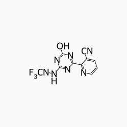 N#Cc1cccnc1-c1nc(O)nc(NNC(F)(F)F)n1